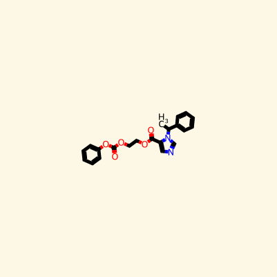 CC(c1ccccc1)n1cncc1C(=O)OCCOC(=O)Oc1ccccc1